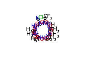 CC[C@H](C)[C@@H]1NC(=O)[C@H](CC(C)C)N(C)C(=O)C[C@@H](C(=O)N2CCCCC2)N(C)C(=O)[C@H](C2CCCCC2)N(C)C(=O)C2(CCCC2)NC(=O)CN(CCc2ccncc2)C(=O)C(CCc2ccc(C(F)(F)F)c(Cl)c2)NC(=O)CN(C)C(=O)[C@H](CC2CCCCC2)N(C)C(=O)CN(C)C(=O)CN(C)C1=O